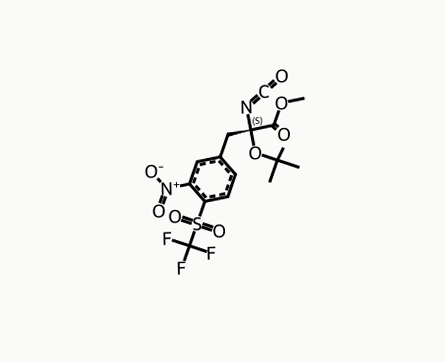 COC(=O)[C@@](Cc1ccc(S(=O)(=O)C(F)(F)F)c([N+](=O)[O-])c1)(N=C=O)OC(C)(C)C